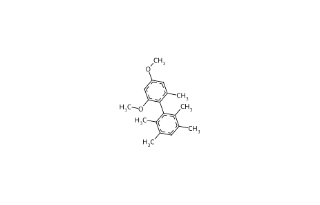 COc1cc(C)c(-c2c(C)c(C)cc(C)c2C)c(OC)c1